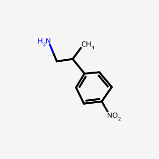 CC(CN)c1ccc([N+](=O)[O-])cc1